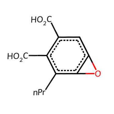 CCCc1c2c(cc(C(=O)O)c1C(=O)O)O2